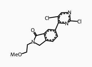 COCCN1Cc2ccc(-c3nc(Cl)ncc3Cl)cc2C1=O